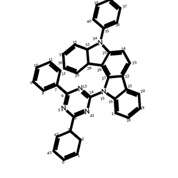 C1=CCC(c2nc(-c3ccccc3)nc(-n3c4ccccc4c4ccc5c(c43)C3C=CC=CC3N5c3ccccc3)n2)C=C1